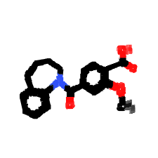 COc1cc(C(=O)N2CCCCc3ccccc32)ccc1C(=O)O